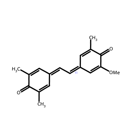 COC1=C/C(=C/C=C2C=C(C)C(=O)C(C)=C2)C=C(C)C1=O